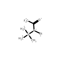 CCN(C(=O)C(F)(F)F)[Si](C)(C)C